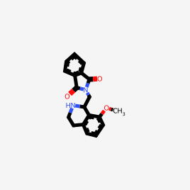 COc1cccc2c1C(CN1C(=O)c3ccccc3C1=O)NCC2